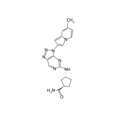 Cc1ccn2cc(-n3nnc4cnc(N[C@@H]5CC[C@@H](C(N)=O)C5)nc43)cc2c1